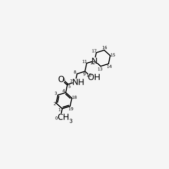 Cc1ccc(C(=O)NCC(O)CN2CCCCC2)cc1